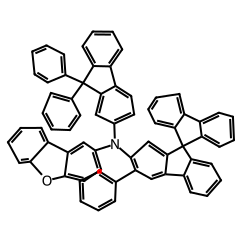 c1ccc(-c2cc3c(cc2N(c2ccc4c(c2)C(c2ccccc2)(c2ccccc2)c2ccccc2-4)c2ccc4oc5ccccc5c4c2)C2(c4ccccc4-c4ccccc42)c2ccccc2-3)cc1